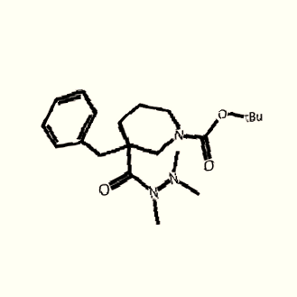 CN(C)N(C)C(=O)C1(Cc2ccccc2)CCCN(C(=O)OC(C)(C)C)C1